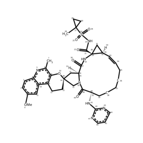 COc1ccc2nc(C)c3c(c2c1)CC[C@]1(C[C@H]2C(=O)N[C@]4(C(=O)NS(=O)(=O)C5(C)CC5)C[C@H]4C=CCCCCC[C@H](Nc4ncccn4)C(=O)N2C1)O3